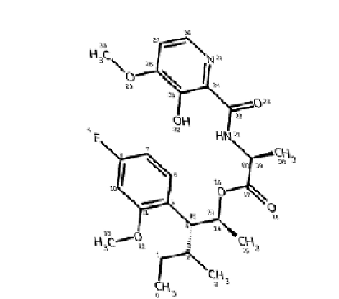 CCC(C)[C@H](c1ccc(F)cc1OC)[C@H](C)OC(=O)[C@H](C)NC(=O)c1nccc(OC)c1O